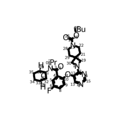 CC(C)N(C(=O)c1cc(F)ccc1Oc1cncnc1N1CC2(CCN(C(=O)OC(C)(C)C)CC2)C1)[C@@H]1C[C@@H]2CC[C@H]1O2